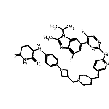 Cc1nc2c(F)cc(-c3nc(Nc4ccc(CC5CCN(CC6CN(c7ccc(NC8CCC(=O)NC8=O)cc7)C6)CC5)cn4)ncc3F)cc2n1C(C)C